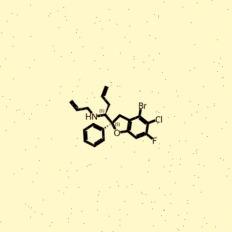 C=CCN[C@@H](CC=C)[C@@]1(c2ccccc2)Cc2c(cc(F)c(Cl)c2Br)O1